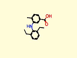 CCc1cccc(CC)c1Nc1cc(C(=O)O)ccc1C